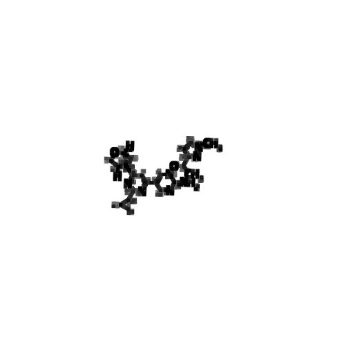 CC(ON1C=C(c2cc(N3C[C@@H]4C[C@H]3CO4)nc(C3CC3)n2)C=NC1N)c1ccn(C)n1